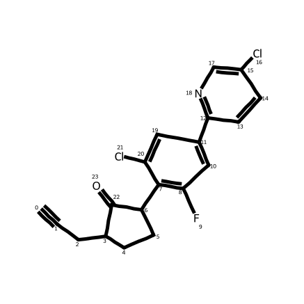 C#CCC1CCC(c2c(F)cc(-c3ccc(Cl)cn3)cc2Cl)C1=O